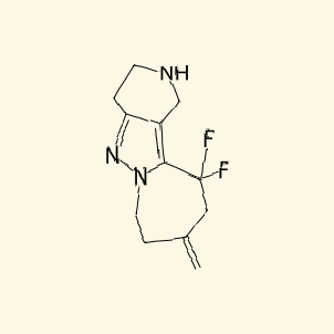 C=C1CCn2nc3c(c2C(F)(F)C1)CNCC3